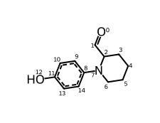 O=CC1CCCCN1c1ccc(O)cc1